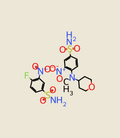 CN(c1ccc(S(N)(=O)=O)cc1[N+](=O)[O-])C1CCOCC1.NS(=O)(=O)c1ccc(F)c([N+](=O)[O-])c1